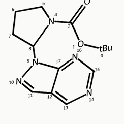 CC(C)(C)OC(=O)N1CCCC1n1ncc2cncnc21